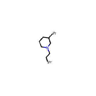 CC(C)CCN1CCCC(C(C)C)C1